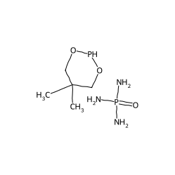 CC1(C)COPOC1.NP(N)(N)=O